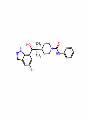 CC(C)(C1CCN(C(=O)Nc2ccccc2)CC1)C(O)c1cc(Cl)cc2cn[nH]c12